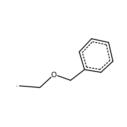 [CH2]COCc1ccccc1